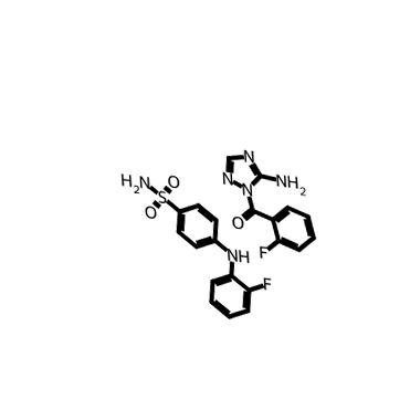 NS(=O)(=O)c1ccc(Nc2ccccc2F)cc1.Nc1ncnn1C(=O)c1ccccc1F